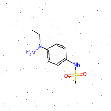 CCN(N)c1ccc(NS(C)(=O)=O)cc1